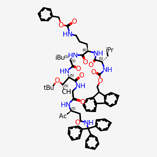 CC[C@H](C)[C@H](NC(=O)[C@@H](CCCNC(=O)OCc1ccccc1)NC(=O)[C@H](CC(C)C)NC(=O)OCC1c2ccccc2-c2ccccc21)C(=O)N[C@H](C(=O)NCC(=O)N[C@@H](CC(=O)NC(c1ccccc1)(c1ccccc1)c1ccccc1)C(C)=O)[C@H](C)OC(C)(C)C